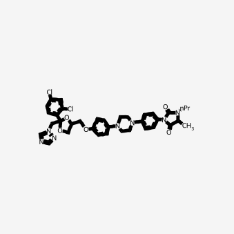 CCCN1C(=O)N(c2ccc(N3CCN(c4ccc(OCC5COC(Cn6cncn6)(c6ccc(Cl)cc6Cl)O5)cc4)CC3)cc2)C(=O)C1C